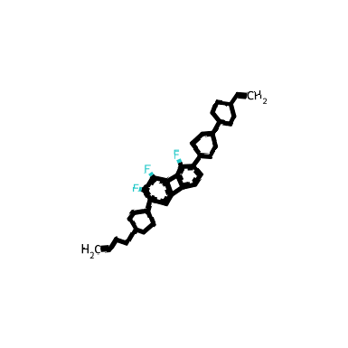 C=CCCC1CCC(c2cc3c(c(F)c2F)-c2c-3ccc(C3CCC(C4CCC(C=C)CC4)CC3)c2F)CC1